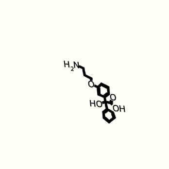 NCCCOc1cccc(C(O)(C(=O)O)c2ccccc2)c1